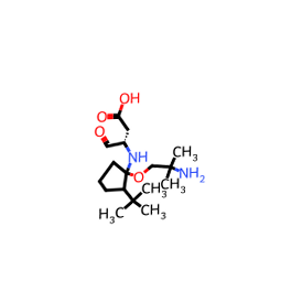 CC(C)(N)COC1(N[C@H](C=O)CC(=O)O)CCCC1C(C)(C)C